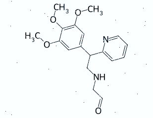 COc1cc(C(CNCC=O)c2ccccn2)cc(OC)c1OC